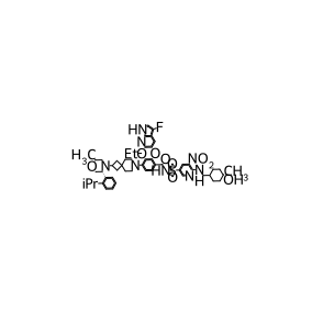 CCOc1nc2[nH]cc(F)c2cc1Oc1cc(N2CCC3(CC2)CC(N2C[C@H](C)OC[C@H]2c2ccccc2C(C)C)C3)ccc1C(=O)NS(=O)(=O)c1cnc(NCC2CCC(C)(O)CC2)c([N+](=O)[O-])c1